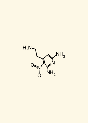 NCCc1cc(N)nc(N)c1[N+](=O)[O-]